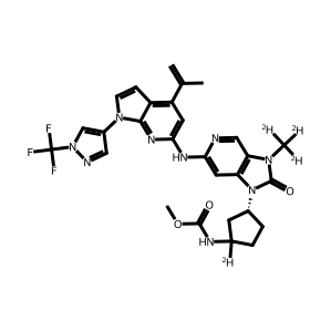 [2H]C1(NC(=O)OC)CC[C@@H](n2c(=O)n(C([2H])([2H])[2H])c3cnc(Nc4cc(C(=C)C)c5ccn(-c6cnn(C(F)(F)F)c6)c5n4)cc32)C1